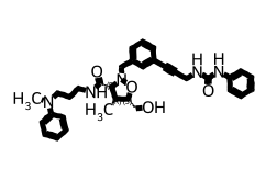 C[C@H]1[C@@H](CO)ON(Cc2cccc(C#CCNC(=O)Nc3ccccc3)c2)[C@H]1C(=O)NCCCN(C)c1ccccc1